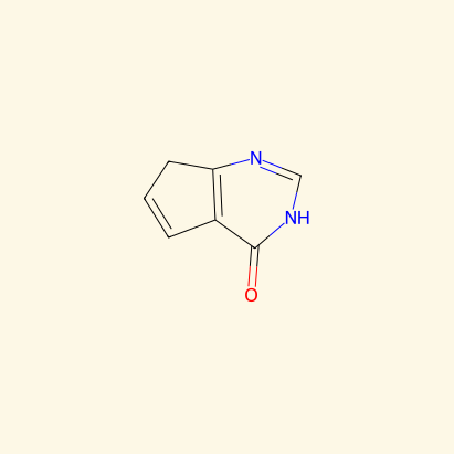 O=c1[nH]cnc2c1C=CC2